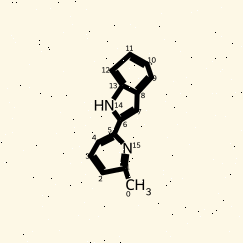 Cc1cccc(-c2cc3c[c]ccc3[nH]2)n1